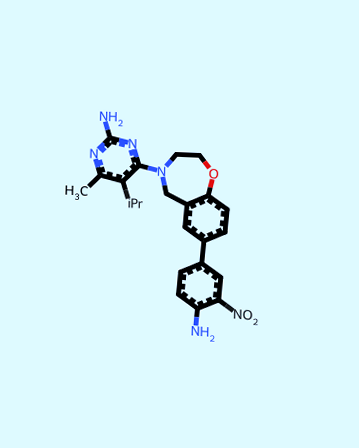 Cc1nc(N)nc(N2CCOc3ccc(-c4ccc(N)c([N+](=O)[O-])c4)cc3C2)c1C(C)C